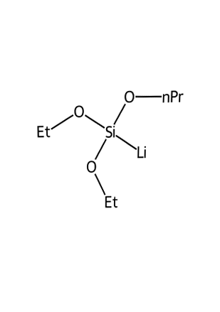 [Li][Si](OCC)(OCC)OCCC